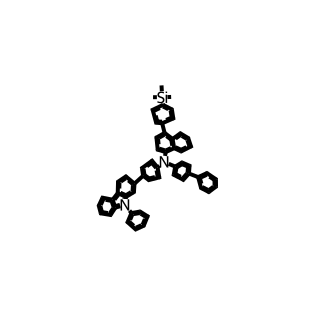 C[Si](C)(C)c1ccc(-c2ccc(N(c3ccc(-c4ccccc4)cc3)c3ccc(-c4ccc5c6ccccc6n(-c6ccccc6)c5c4)cc3)c3ccccc23)cc1